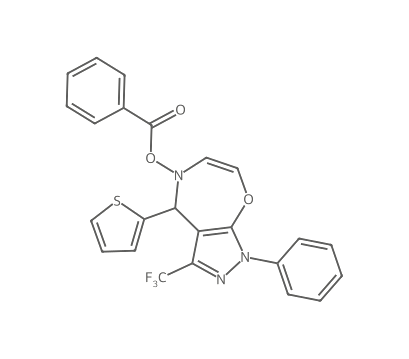 O=C(ON1C=COc2c(c(C(F)(F)F)nn2-c2ccccc2)C1c1cccs1)c1ccccc1